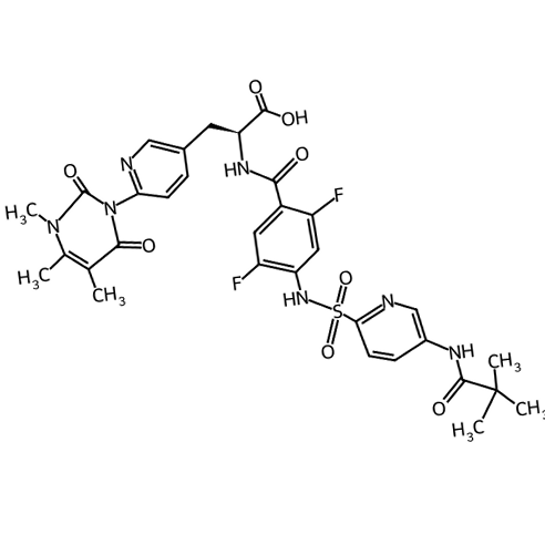 Cc1c(C)n(C)c(=O)n(-c2ccc(C[C@H](NC(=O)c3cc(F)c(NS(=O)(=O)c4ccc(NC(=O)C(C)(C)C)cn4)cc3F)C(=O)O)cn2)c1=O